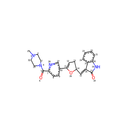 CN1CCN(C(=O)c2ccc(C3=CCC(/C=C4/C(=O)Nc5ccccc54)O3)cn2)CC1